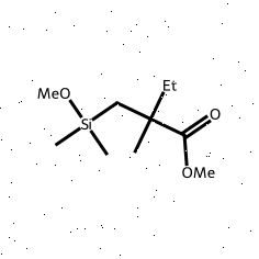 CCC(C)(C[Si](C)(C)OC)C(=O)OC